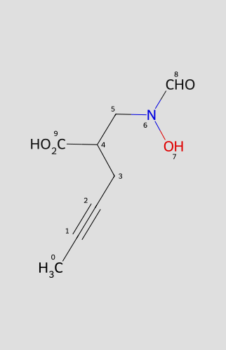 CC#CCC(CN(O)C=O)C(=O)O